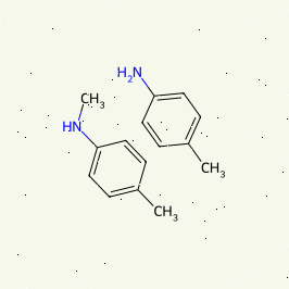 CNc1ccc(C)cc1.Cc1ccc(N)cc1